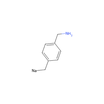 NCc1ccc([CH2][Na])cc1